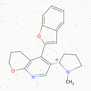 CN1CCC[C@H]1c1cnc2c(c1-c1cc3ccccc3o1)CCCO2